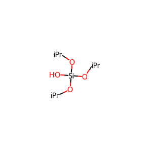 CC(C)O[Si](O)(OC(C)C)OC(C)C